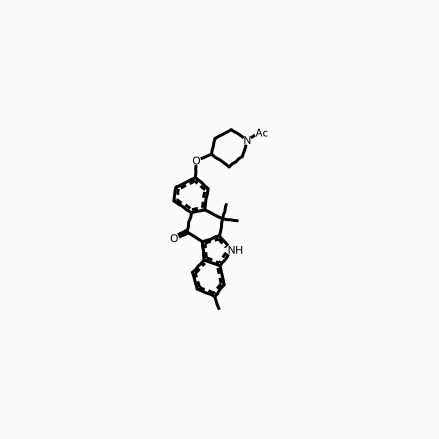 CC(=O)N1CCC(Oc2ccc3c(c2)C(C)(C)c2[nH]c4cc(C)ccc4c2C3=O)CC1